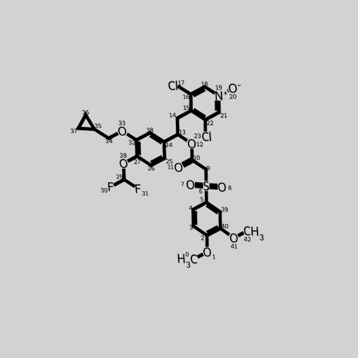 COc1ccc(S(=O)(=O)CC(=O)OC(Cc2c(Cl)c[n+]([O-])cc2Cl)c2ccc(OC(F)F)c(OCC3CC3)c2)cc1OC